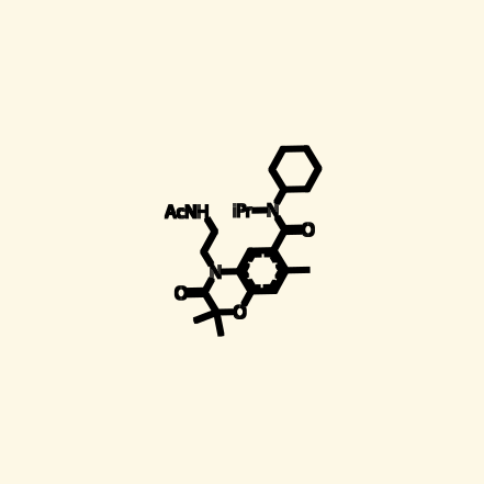 CC(=O)NCCN1C(=O)C(C)(C)Oc2cc(C)c(C(=O)N(C(C)C)C3CCCCC3)cc21